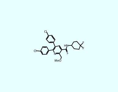 COCc1nc(-c2ccc(Cl)cc2)c(-c2ccc(Cl)cc2)cc1C(=S)NC1CCC(F)(F)CC1